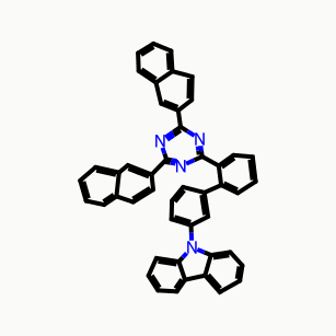 c1cc(-c2ccccc2-c2nc(-c3ccc4ccccc4c3)nc(-c3ccc4ccccc4c3)n2)cc(-n2c3ccccc3c3ccccc32)c1